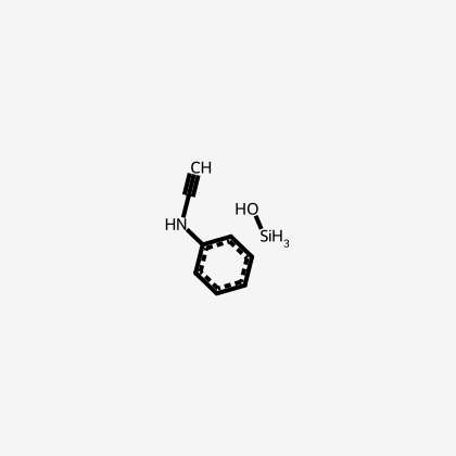 C#CNc1ccccc1.O[SiH3]